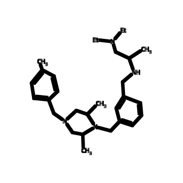 CCN(CC)CC(C)NCc1cccc(CN2C(C)CN(Cc3ccc(C)cc3)CC2C)c1